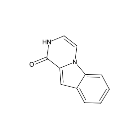 O=c1[nH]ccn2c1cc1ccccc12